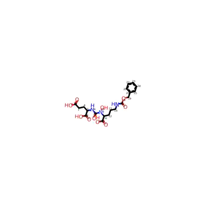 O=C(O)CCC(NC(=O)N(O)C(CCCNC(=O)OCc1ccccc1)C(=O)O)C(=O)O